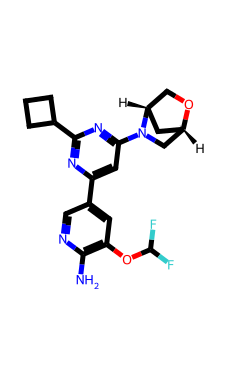 Nc1ncc(-c2cc(N3C[C@@H]4C[C@H]3CO4)nc(C3CCC3)n2)cc1OC(F)F